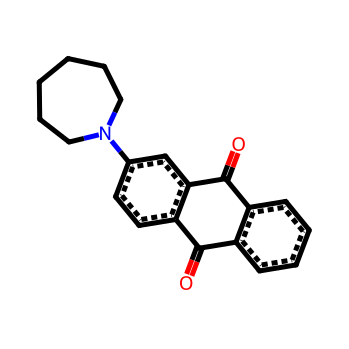 O=C1c2ccccc2C(=O)c2cc(N3CCCCCC3)ccc21